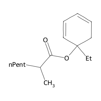 CCCCCC(C)C(=O)OC1(CC)C=CC=CC1